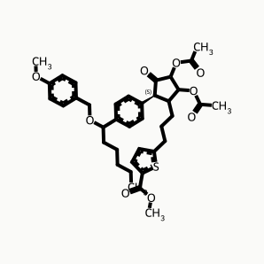 CCCCCC(OCc1ccc(OC)cc1)c1ccc([C@H]2C(=O)C(OC(C)=O)C(OC(C)=O)C2CCCc2ccc(C(=O)OC)s2)cc1